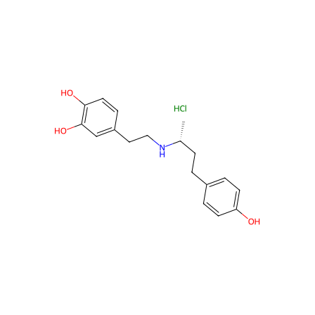 C[C@H](CCc1ccc(O)cc1)NCCc1ccc(O)c(O)c1.Cl